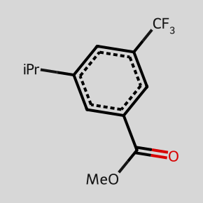 COC(=O)c1cc(C(C)C)cc(C(F)(F)F)c1